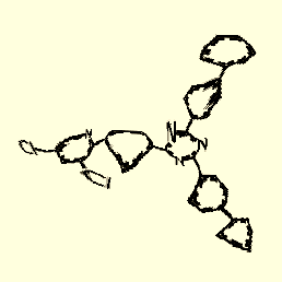 Clc1cnc(-c2ccc(-c3nc(-c4ccc(-c5ccccc5)cc4)nc(-c4ccc(-c5ccccc5)cc4)n3)cc2)c(Cl)c1